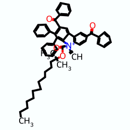 C#C[N+]1(C(=O)OC(C)(C)CCCCCCCCCCCC)c2ccc(C(=O)c3ccccc3)cc2-c2cc(C(=O)c3ccccc3)c(-c3ccccc3)c(-c3ccccc3)c21